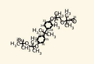 CCC(C)C(C)(C)OCC(C)(C)Oc1ccc(C(C)(C)c2ccc(OC(C)(C)COC(C)(C)C3CO3)cc2)cc1